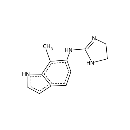 Cc1c(NC2=NCCN2)ccc2cc[nH]c12